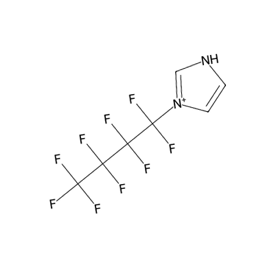 FC(F)(F)C(F)(F)C(F)(F)C(F)(F)[n+]1cc[nH]c1